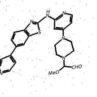 COC(C=O)N1CCN(c2ccnc(Nc3nc4ccc(-c5ccncc5)cc4s3)c2)CC1